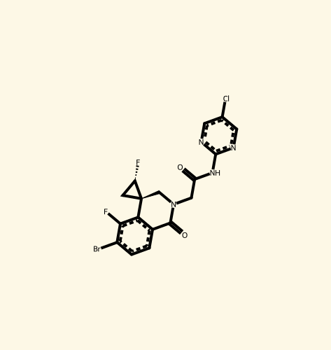 O=C(CN1C[C@]2(C[C@@H]2F)c2c(ccc(Br)c2F)C1=O)Nc1ncc(Cl)cn1